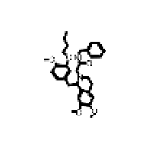 CCCCOc1cc(CC2c3cc(OC)c(OC)cc3CCN2CC(=O)NCc2ccccc2)ccc1OC